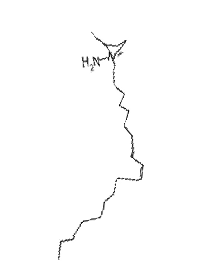 CCCCCCCC/C=C\CCCCCCCC[N+]1(N)CC1C